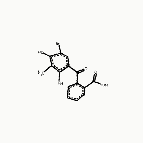 Cc1c(O)c(Br)cc(C(=O)c2ccccc2C(=O)O)c1O